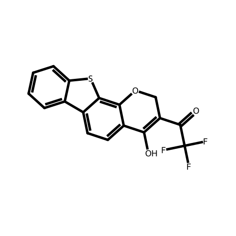 O=C(C1=C(O)c2ccc3c(sc4ccccc43)c2OC1)C(F)(F)F